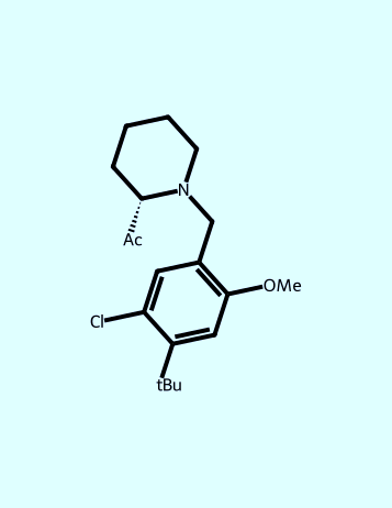 COc1cc(C(C)(C)C)c(Cl)cc1CN1CCCC[C@H]1C(C)=O